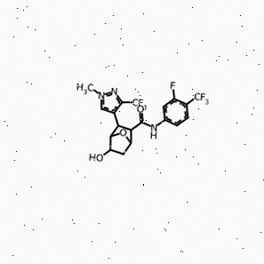 Cn1cc(C2C3OC(CC3O)C2C(=O)Nc2ccc(C(F)(F)F)c(F)c2)c(C(F)(F)F)n1